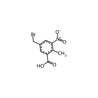 Cc1c(C(=O)O)cc(CBr)cc1[N+](=O)[O-]